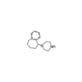 c1ccc2c(c1)CCCCC2N1CCNCC1